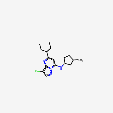 CCC(CC)c1cc(N[C@H]2CCC([SiH3])C2)n2ncc(Cl)c2n1